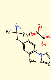 COc1cc(C[C@](C)(N)C(=O)O)ccc1-n1cccc1.O=C(O)C(=O)O